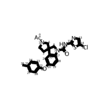 CC(=O)N1CCC2(C1)CN(C(=O)Nc1ncc(Cl)s1)c1ccc(Oc3ccc(C)cc3)cc12